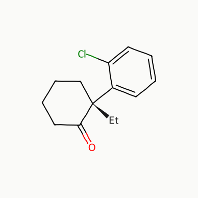 CC[C@]1(c2ccccc2Cl)CCCCC1=O